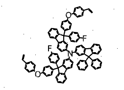 C=Cc1ccc(Oc2ccc(C3(c4ccc(F)cc4)c4ccccc4-c4ccc(N(c5ccc6c(c5)C(c5ccccc5)(c5ccccc5)c5ccccc5-6)c5ccc6c(c5)C(c5ccc(F)cc5)(c5ccc(Oc7ccc(C=C)cc7)cc5)c5ccccc5-6)cc43)cc2)cc1